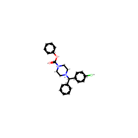 O=C(Oc1ccccc1)N1CCN(C(c2ccccc2)c2ccc(Cl)cc2)CC1